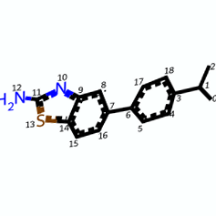 CC(C)c1ccc(-c2[c]c3nc(N)sc3cc2)cc1